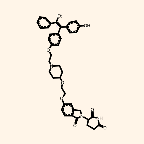 CC/C(=C(\c1ccc(O)cc1)c1ccc(OCCN2CCC(OCCOc3ccc4c(c3)CN(C3CCC(=O)NC3=O)C4=O)CC2)cc1)c1ccccc1